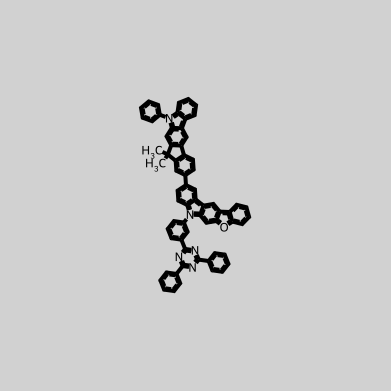 CC1(C)c2cc(-c3ccc4c(c3)c3cc5c(cc3n4-c3cccc(-c4nc(-c6ccccc6)nc(-c6ccccc6)n4)c3)oc3ccccc35)ccc2-c2cc3c4ccccc4n(-c4ccccc4)c3cc21